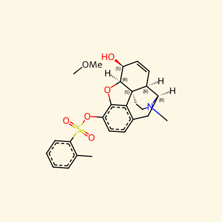 COC.Cc1ccccc1S(=O)(=O)Oc1ccc2c3c1O[C@H]1[C@@H](O)C=C[C@H]4[C@@H](C2)N(C)CC[C@@]341